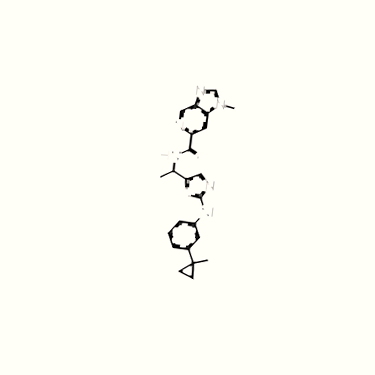 CC(NC(=O)c1cc2c(cn1)ncn2C)c1cnc(Nc2cccc(C3(C)CC3)c2)s1